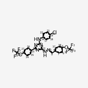 FC(F)(F)Oc1ccc(C=NNc2nc(Nc3ccc(Cl)cc3)nc(-c3ccc(OC(F)(F)F)cc3)n2)cc1